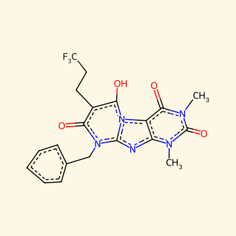 Cn1c(=O)c2c(nc3n(Cc4ccccc4)c(=O)c(CCC(F)(F)F)c(O)n23)n(C)c1=O